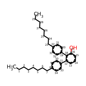 CCCCCCCCc1ccc(-c2cccc(O)c2-c2ccc(CCCCCCCC)cc2)cc1